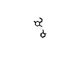 C=C1CCC(C(=O)NCc2ccc(Br)cc2F)c2cccnc21